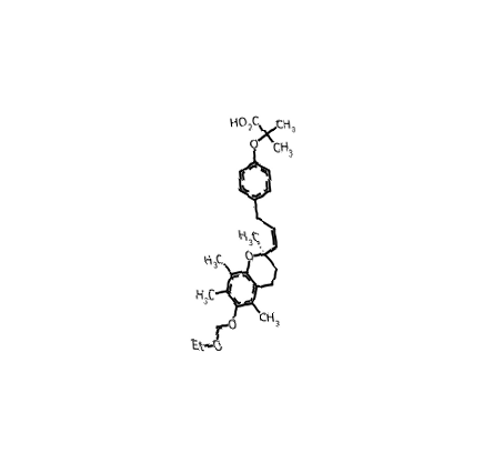 CCOCOc1c(C)c(C)c2c(c1C)CC[C@](C)(/C=C\Cc1ccc(OC(C)(C)C(=O)O)cc1)O2